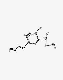 C=C/C=C/c1ccc(O)c(C(=O)CBr)c1